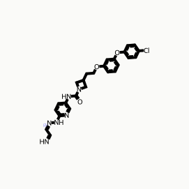 N=C/C=N\Nc1ccc(NC(=O)N2CC(CCOc3cccc(Oc4ccc(Cl)cc4)c3)C2)cn1